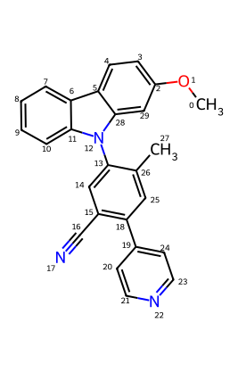 COc1ccc2c3ccccc3n(-c3cc(C#N)c(-c4ccncc4)cc3C)c2c1